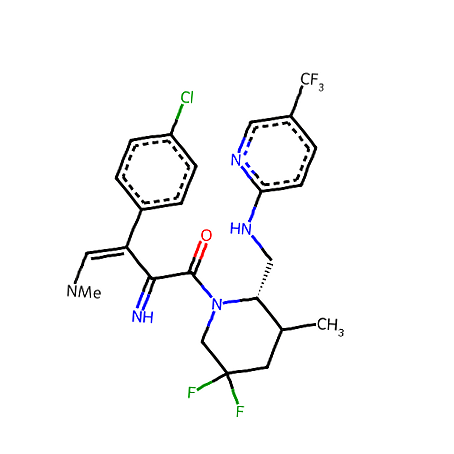 CN/C=C(\C(=N)C(=O)N1CC(F)(F)CC(C)[C@H]1CNc1ccc(C(F)(F)F)cn1)c1ccc(Cl)cc1